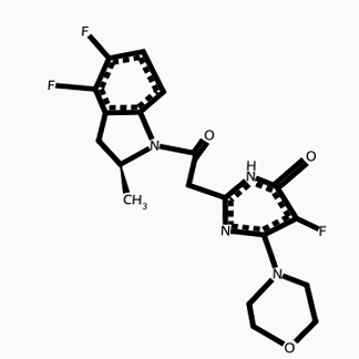 C[C@H]1Cc2c(ccc(F)c2F)N1C(=O)Cc1nc(N2CCOCC2)c(F)c(=O)[nH]1